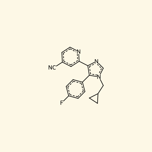 N#Cc1ccnc(-c2ncn(CC3CC3)c2-c2ccc(F)cc2)c1